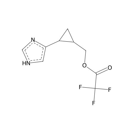 O=C(OCC1CC1c1c[nH]cn1)C(F)(F)F